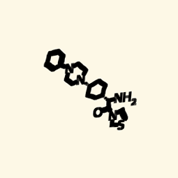 NC(C(=O)N1C=CSC1)[C@H]1CC[C@@H](N2CCN(c3ccccc3)CC2)CC1